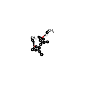 C=Cc1ccc(OCCCCCC2(c3ccccc3)c3ccccc3-c3ccc(N(c4ccc(-c5ccccc5)cc4)c4ccc(-c5ccc(N(c6ccc(-c7ccccc7)cc6)c6ccc7c(c6)C(CCCCCOc6ccc(C=C)cc6)(c6ccccc6)c6ccccc6-7)cc5)cc4)cc32)cc1